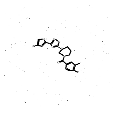 O=C(c1ccc(F)c(F)c1)N1CCC[C@H](c2nc(-c3cc(F)c[nH]3)no2)C1